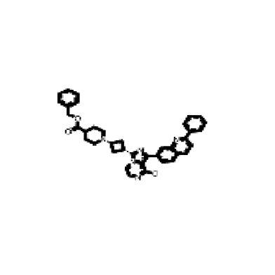 O=C(OCc1ccccc1)C1CCN([C@H]2C[C@@H](c3nc(-c4ccc5ccc(-c6ccccc6)nc5c4)c4c(Cl)nccn43)C2)CC1